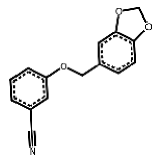 N#Cc1cccc(OCc2ccc3c(c2)OCO3)c1